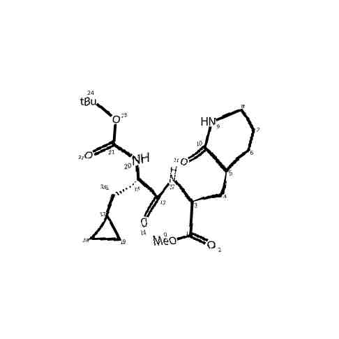 COC(=O)[C@H](C[C@@H]1CCCNC1=O)NC(=O)[C@H](CC1CC1)NC(=O)OC(C)(C)C